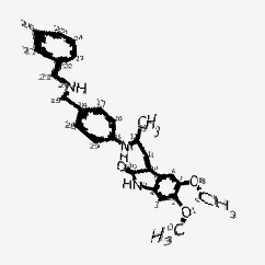 COc1cc2c(cc1OC)C(=CC(C)Nc1ccc(CNCc3ccccc3)cc1)C(=O)N2